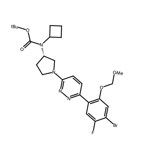 COCOc1cc(Br)c(F)cc1-c1ccc(N2CC[C@H](N(C(=O)OC(C)(C)C)C3CCC3)C2)nn1